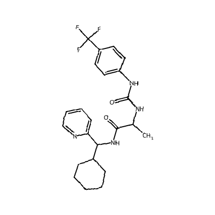 CC(NC(=O)Nc1ccc(C(F)(F)F)cc1)C(=O)NC(c1ccccn1)C1CCCCC1